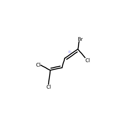 ClC(Cl)=C/C=C(\Cl)Br